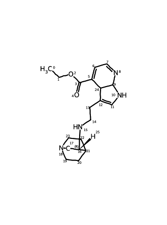 CCOC(=O)C1=CC=NC2NC=C(CCN[C@H]3CN4CCC3CC4)C12